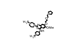 COc1cc2c(NC3CCN(C)CC3)nc(N3CCCN(C)CC3)nc2cc1OCCOCCN1CCCC1